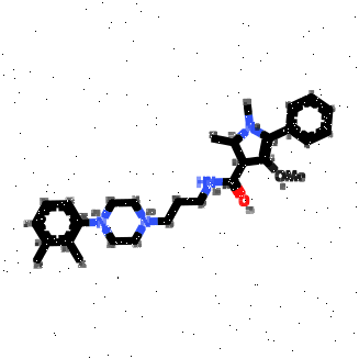 COC1=C(c2ccccc2)N(C)C(C)C1C(=O)NCCCN1CCN(c2cccc(C)c2C)CC1